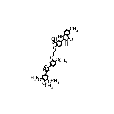 COc1cc(C2NC(=O)c3cc(C)ccc3N2)ccc1OCCCOc1cc(C2CC(c3cc(OC)c(OC)c(OC)c3)=NO2)ccc1OC